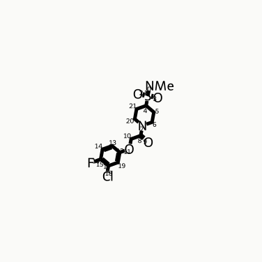 CNS(=O)(=O)C1CCN(C(=O)COc2ccc(F)c(Cl)c2)CC1